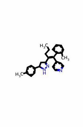 CCC/C(C1=NNC(c2ccc(C)cc2)C1)=C(/c1ccncc1)c1ccccc1C